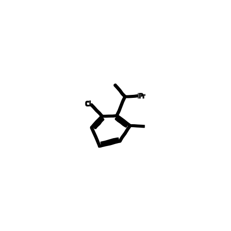 Cc1cccc(Cl)c1C(C)C(C)C